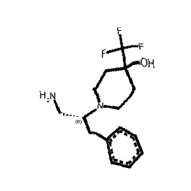 NC[C@@H](Cc1ccccc1)N1CCC(O)(C(F)(F)F)CC1